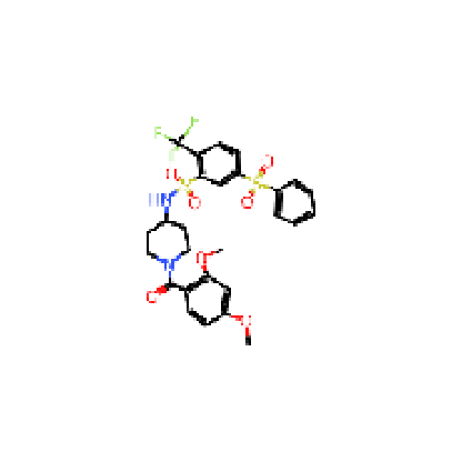 COc1ccc(C(=O)N2CCC(NS(=O)(=O)c3cc(S(=O)(=O)c4ccccc4)ccc3C(F)(F)F)CC2)c(OC)c1